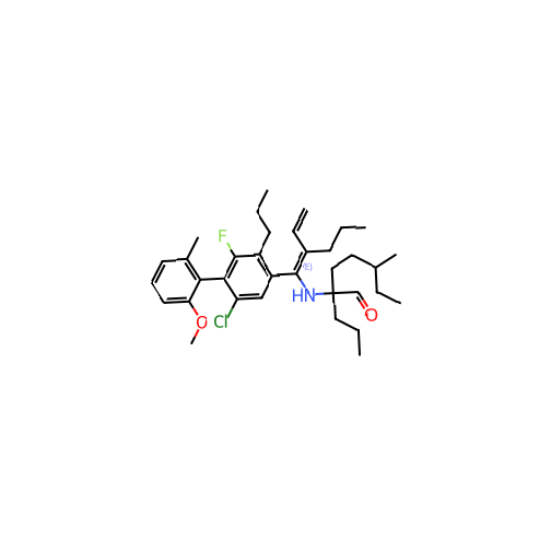 C=C/C(CCC)=C(/NC(C=O)(CCC)CCC(C)CC)c1cc(Cl)c(-c2c(C)cccc2OC)c(F)c1CCC